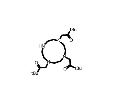 CC(C)(C)C(=O)CN1CCNCCN(CC(=O)C(C)(C)C)CCN(CC(=O)C(C)(C)C)CC1